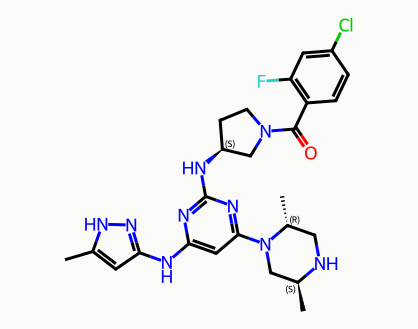 Cc1cc(Nc2cc(N3C[C@H](C)NC[C@H]3C)nc(N[C@H]3CCN(C(=O)c4ccc(Cl)cc4F)C3)n2)n[nH]1